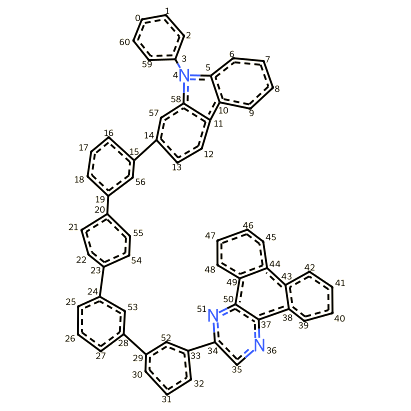 c1ccc(-n2c3ccccc3c3ccc(-c4cccc(-c5ccc(-c6cccc(-c7cccc(-c8cnc9c%10ccccc%10c%10ccccc%10c9n8)c7)c6)cc5)c4)cc32)cc1